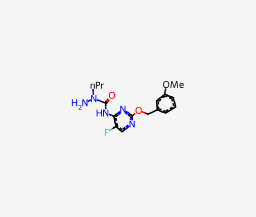 CCCN(N)C(=O)Nc1nc(OCc2cccc(OC)c2)ncc1F